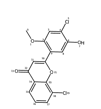 COc1cc(Cl)c(O)cc1-c1cc(=O)c2cccc(Cl)c2o1